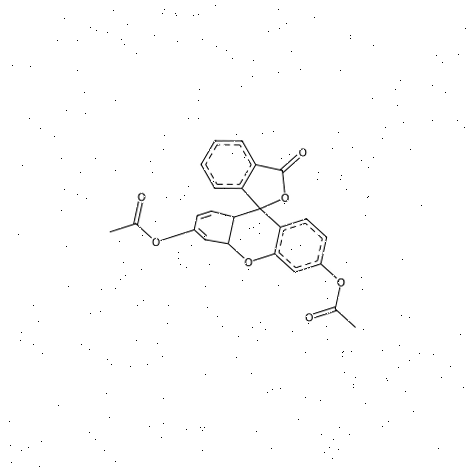 CC(=O)OC1=CC2Oc3cc(OC(C)=O)ccc3C3(OC(=O)c4ccccc43)C2C=C1